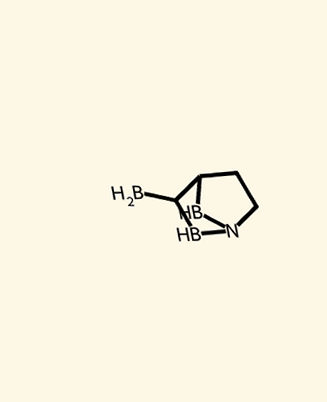 BC1BN2BC1CC2